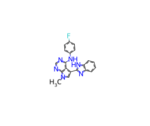 Cn1cc(-c2nc3ccccc3[nH]2)c2c(Nc3ccc(F)cc3)ncnc21